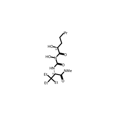 CCC(CC)(CC)[C@H](NC(=O)N(O)C(=O)[C@@H](O)CCC(C)C)C(=O)NC